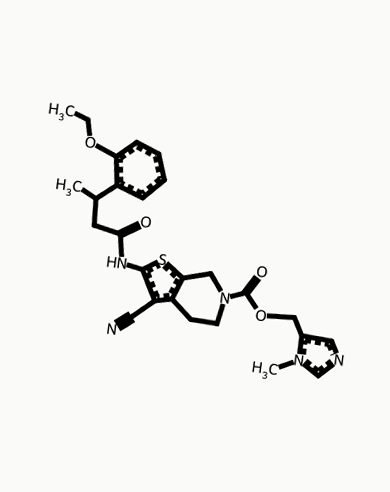 CCOc1ccccc1C(C)CC(=O)Nc1sc2c(c1C#N)CCN(C(=O)OCc1cncn1C)C2